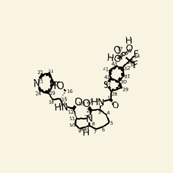 O=C(N[C@H]1CCCC[C@H]2CC[C@@H](C(=O)N[C@@H](CO)Cc3cccnc3)N2C1=O)c1cc2cc(C(F)(F)P(=O)(O)O)ccc2s1